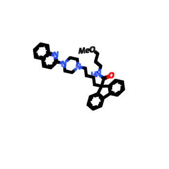 COCCCNC(=O)C1(CCCCN2CCN(c3ccc4ccccc4n3)CC2)c2ccccc2-c2ccccc21